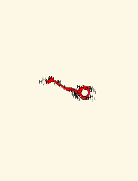 CO[C@H]1C[C@@H]2CC[C@@H](C)[C@@](O)(O2)C(=O)C(=O)N2CCCC[C@H]2C(=O)O[C@H]([C@H](N)C[C@@H]2CC[C@@H](OC(=O)NCc3cnc(N4CCN(CCOCCOCCOCCOCCC(=O)NCCCCn5nc(-c6ccc7oc(N)nc7c6)c6c(N)ncnc65)CC4)nc3)[C@H](OC)C2)C[C@@H](OC)[C@H](C)/C=C(\C)[C@@H](O)[C@@H](O)C(=O)[C@H](C)C[C@H](C)/C=C/C=C/C=C/1C